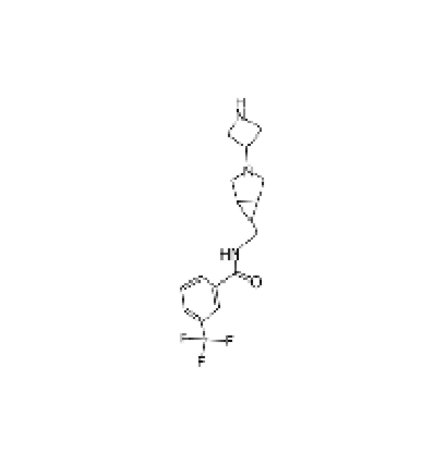 O=C(NCC1C2CN(C3CNC3)CC12)c1cccc(C(F)(F)F)c1